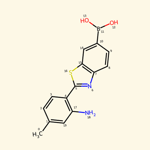 Cc1ccc(-c2nc3ccc(B(O)O)cc3s2)c(N)c1